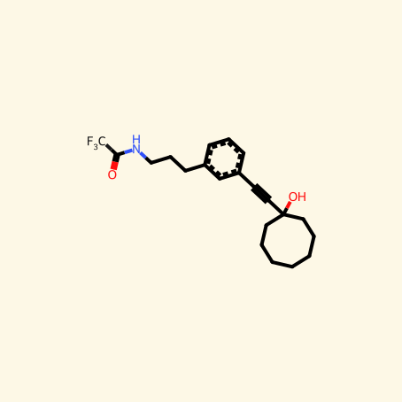 O=C(NCCCc1cccc(C#CC2(O)CCCCCCC2)c1)C(F)(F)F